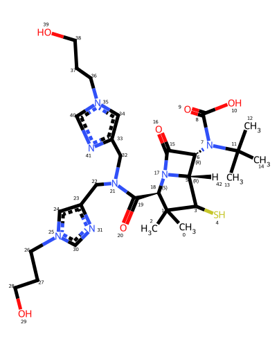 CC1(C)C(S)[C@H]2[C@@H](N(C(=O)O)C(C)(C)C)C(=O)N2[C@@H]1C(=O)N(Cc1cn(CCCO)cn1)Cc1cn(CCCO)cn1